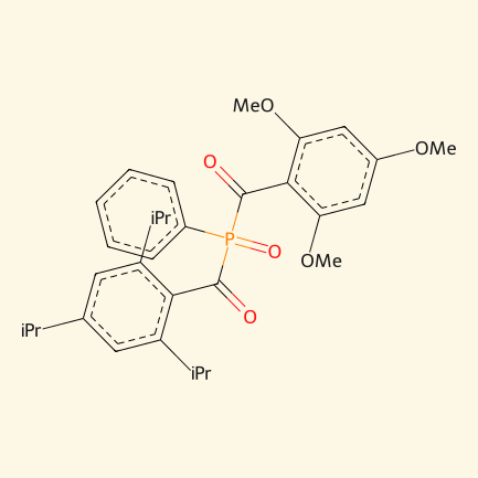 COc1cc(OC)c(C(=O)P(=O)(C(=O)c2c(C(C)C)cc(C(C)C)cc2C(C)C)c2ccccc2)c(OC)c1